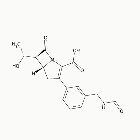 C[C@@H](O)[C@H]1C(=O)N2C(C(=O)O)=C(c3cccc(CNC=O)c3)C[C@H]12